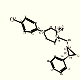 Br.Clc1ccc(N2CCN(C[C@@H]3C[C@H]3c3ccccc3)CC2)cc1